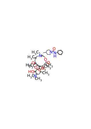 CCN1C[C@H](C)C[C@@](C)(OC)[C@H](O[C@@H]2O[C@H](C)C[C@H](N(C)C)[C@H]2O)[C@@H](C)C(=O)C(C)(C)C(=O)OC[C@H]1CC1CCN(C(=O)Nc2ccccc2)CC1